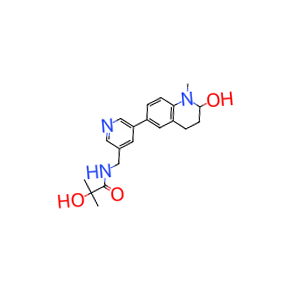 CN1c2ccc(-c3cncc(CNC(=O)C(C)(C)O)c3)cc2CCC1O